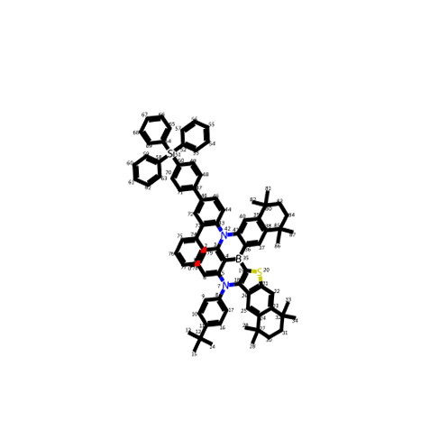 Cc1cc2c3c(c1)N(c1ccc(C(C)(C)C)cc1)c1c(sc4cc5c(cc14)C(C)(C)CCC5(C)C)B3c1cc3c(cc1N2c1ccc(-c2ccc([Si](c4ccccc4)(c4ccccc4)c4ccccc4)cc2)cc1-c1ccccc1)C(C)(C)CCC3(C)C